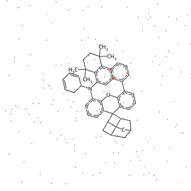 CC1(C)CCC(C)(C)c2c(N(c3cccc4c3Oc3c(-c5ccccc5)cccc3C43C4CC5CC6CC3C64C5)C3C=CC=CC3)cccc21